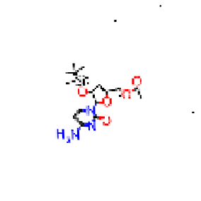 CC(=O)OCC1=CC(O[Si](C)(C)C(C)(C)C)[C@H](n2ccc(N)nc2=O)O1